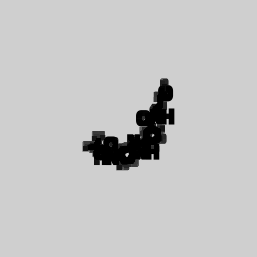 COCCCNC(=O)c1cccc(-c2nc3cc(NC(=O)OC(C)C)ccc3[nH]2)c1